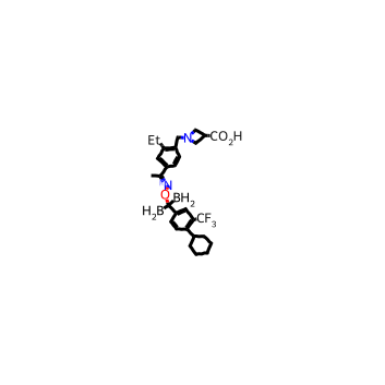 BC(B)(O/N=C(\C)c1ccc(CN2CC(C(=O)O)C2)c(CC)c1)c1ccc(C2CCCCC2)c(C(F)(F)F)c1